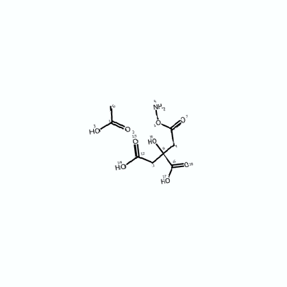 CC(=O)O.NOC(=O)CC(O)(CC(=O)O)C(=O)O